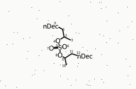 CCCCCCCCCCCC(C)OS(=O)(=O)OC(C)CCCCCCCCCCC